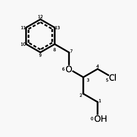 OCCC(CCl)OCc1ccccc1